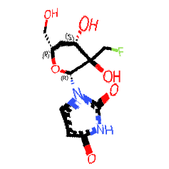 O=c1ccn([C@@H]2O[C@H](CO)[C@H](O)C2(O)CF)c(=O)[nH]1